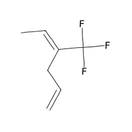 C=CC/C(=C\C)C(F)(F)F